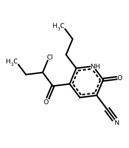 CCCc1[nH]c(=O)c(C#N)cc1C(=O)C(Cl)CC